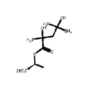 BC(B)(O)CC(B)(O)C(=O)O[C@@H](C)C(=O)OCC